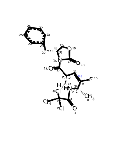 C[C@H](NC(=O)C(Cl)(Cl)Cl)/C(F)=C\[C@H](C)C(=O)N1C(=O)OC[C@H]1Cc1ccccc1